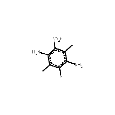 Cc1c(C)c(N)c(S(=O)(=O)O)c(C)c1N